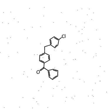 O=C(c1ccccc1)c1ccc(Cc2ccc(Cl)cc2)cc1